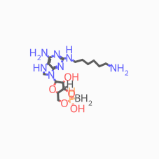 B[PH]1(O)OCC2OC(N3CNc4c(N)nc(NCCCCCCN)nc43)C(O)[C@@H]2O1